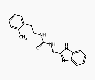 Cc1ccccc1CCNC(=O)NSc1nc2ccccc2[nH]1